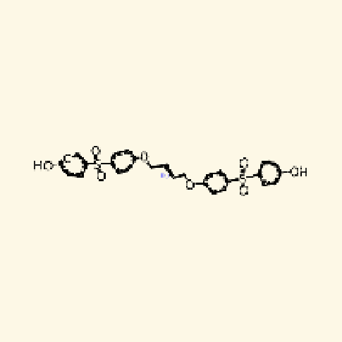 O=S(=O)(c1ccc(O)cc1)c1ccc(OC/C=C/COc2ccc(S(=O)(=O)c3ccc(O)cc3)cc2)cc1